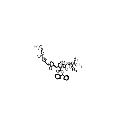 C=CCOC(=O)N1CC(CN2CCC(=CC3=C(C(=O)OC(c4ccccc4)c4ccccc4)N4C(=O)[C@@H](NC(=O)OC(C)(C)C)[C@H]4SC3)C2=O)C1